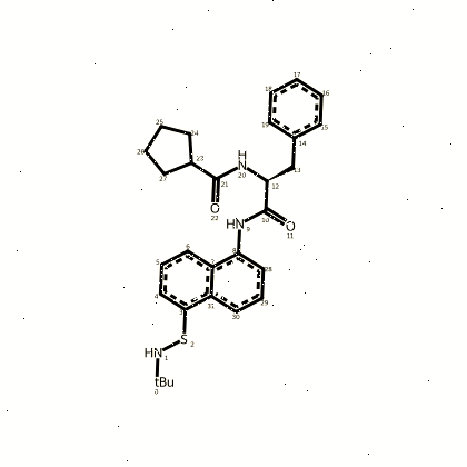 CC(C)(C)NSc1cccc2c(NC(=O)[C@H](Cc3ccccc3)NC(=O)C3CCCC3)cccc12